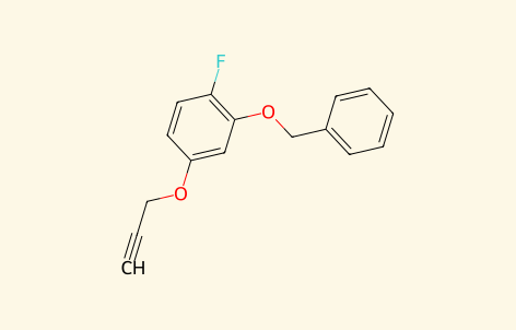 C#CCOc1ccc(F)c(OCc2ccccc2)c1